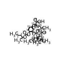 CCCC(C)OC(=O)Oc1ccc(C[C@H](NCC(C)OC(=O)OCC(C)(C)C)C(=O)O)cc1OC(=O)OC(C)CCC